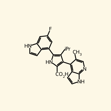 Cc1cnc2[nH]ccc2c1-c1c(C(=O)O)[nH]c(-c2cc(F)cc3[nH]ccc23)c1C(C)C